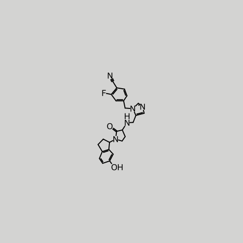 N#Cc1ccc(Cn2cncc2CNC2CCN(C3CCc4ccc(O)cc43)C2=O)cc1F